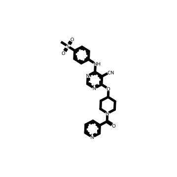 CS(=O)(=O)c1ccc(Nc2ncnc(OC3CCN(C(=O)c4cccnc4)CC3)c2C#N)cc1